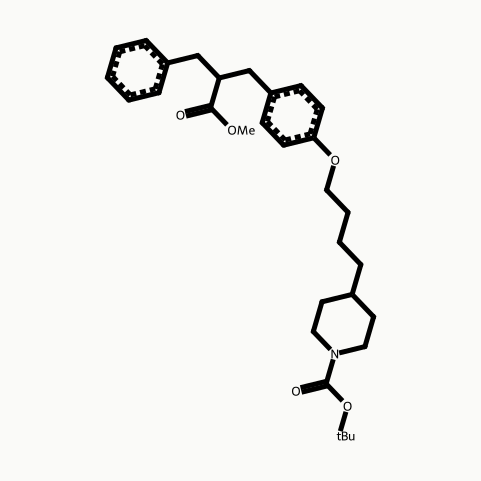 COC(=O)C(Cc1ccccc1)Cc1ccc(OCCCCC2CCN(C(=O)OC(C)(C)C)CC2)cc1